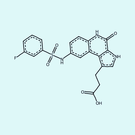 O=C(O)CCc1c[nH]c2c(=O)[nH]c3ccc(NS(=O)(=O)c4cccc(F)c4)cc3c12